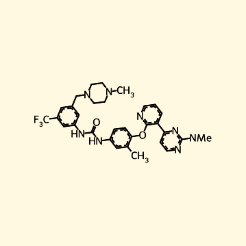 CNc1nccc(-c2cccnc2Oc2ccc(NC(=O)Nc3cc(CN4CCN(C)CC4)cc(C(F)(F)F)c3)cc2C)n1